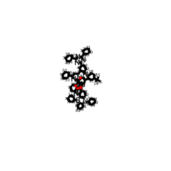 CC(C)(C)c1ccc2c(c1)c1cc(C(C)(C)C)ccc1n2-c1ccc(-c2nc(-c3ccccc3)nc(-c3ccccc3)n2)cc1-c1cc(-c2ccccc2)nc(-c2ccc(-c3ccc4c5c3N(c3ccccc3)c3ccccc3B5c3ccccc3N4c3ccccc3)cc2)n1